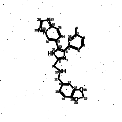 Cc1cccc(-c2nc(CNCc3ccc4c(c3)OCO4)[nH]c2-c2ccc3ncnn3c2)n1